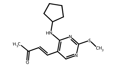 CSc1ncc(/C=C/C(C)=O)c(NC2CCCC2)n1